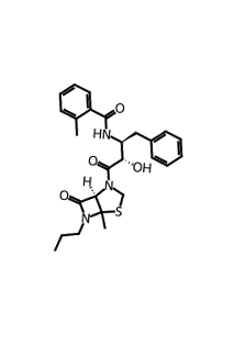 CCCN1C(=O)[C@H]2N(C(=O)[C@@H](O)[C@H](Cc3ccccc3)NC(=O)c3ccccc3C)CSC21C